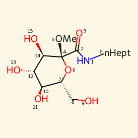 CCCCCCCNC(=O)[C@]1(OC)O[C@H](CO)[C@@H](O)[C@H](O)[C@H]1O